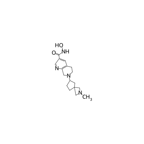 CN1CC2(CCC(N3CCc4cc(C(=O)NO)cnc4C3)C2)C1